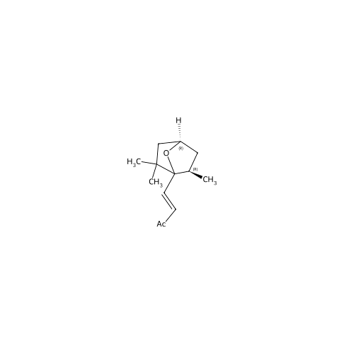 CC(=O)C=CC12O[C@H](C[C@H]1C)CC2(C)C